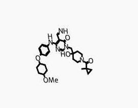 COC1CCC(Oc2ccc(Nc3ncn(CC4(O)CCN(C(=O)C5(C)CC5)CC4)c(=O)c3C=N)cc2)CC1